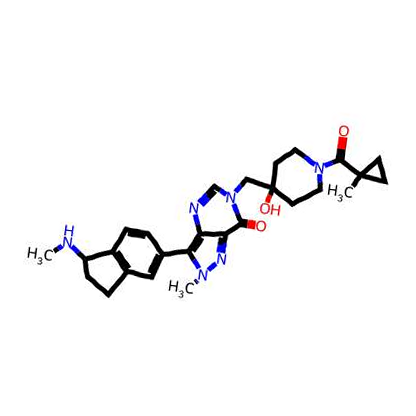 CNC1CCc2cc(-c3c4ncn(CC5(O)CCN(C(=O)C6(C)CC6)CC5)c(=O)c4nn3C)ccc21